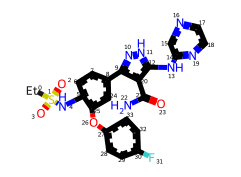 CCS(=O)(=O)Nc1ccc(-c2n[nH]c(Nc3cnccn3)c2C(N)=O)cc1Oc1ccc(F)cc1